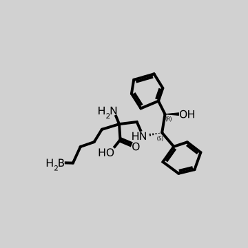 BCCCCC(N)(CN[C@@H](c1ccccc1)[C@H](O)c1ccccc1)C(=O)O